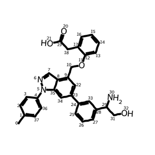 Cc1ccc(-n2ncc3c(COc4ccccc4CC(=O)O)cc(-c4cccc(C(N)CO)c4)cc32)cc1